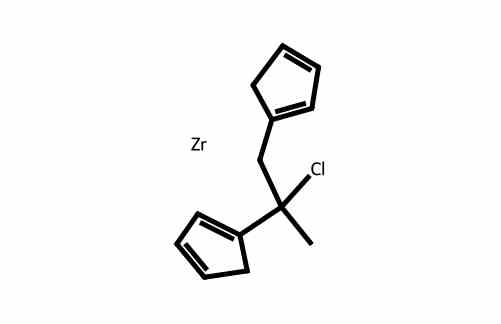 CC(Cl)(CC1=CC=CC1)C1=CC=CC1.[Zr]